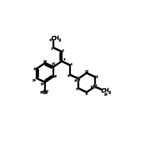 CC/C=C(/CCN1CCN(C)CC1)c1cccc(Br)c1